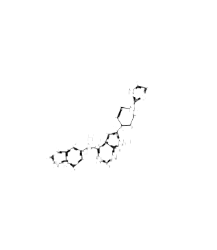 C1=CN(c2nccs2)CCC1c1cc2c(Nc3ccc4ncsc4c3)ncnc2[nH]1